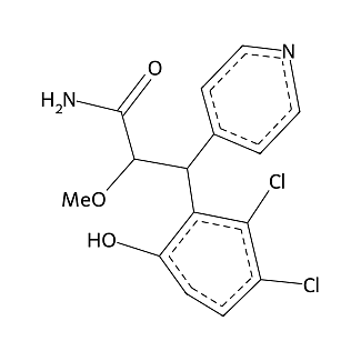 COC(C(N)=O)C(c1ccncc1)c1c(O)ccc(Cl)c1Cl